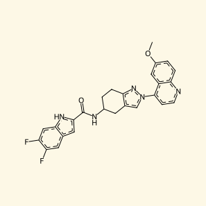 COc1ccc2nccc(-n3cc4c(n3)CCC(NC(=O)c3cc5cc(F)c(F)cc5[nH]3)C4)c2c1